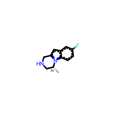 C[C@@H]1CNCc2cc3cc(F)ccc3n21